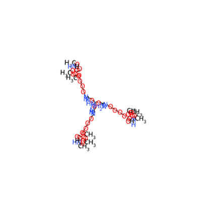 CC(=O)N[C@H]1[C@@H]2OC[C@](COCCOCCOCCOCCn3cc(COCC(COCc4cn(CCOCCOCCOCCOC[C@@]56CO[C@H](O5)[C@H](NC(C)=O)[C@@H](OC(C)=O)[C@H]6OC(C)=O)nn4)(COCc4cn(CCOCCOCCOCCOC[C@@]56CO[C@@H](O5)[C@H](NC(C)=O)[C@@H](OC(C)=O)[C@H]6OC(C)=O)nn4)NN)nn3)(O2)[C@H](OC(C)=O)[C@@H]1OC(C)=O